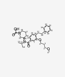 COCCCOc1cc(C(=O)N(C(C)C)[C@@H]2CCCN(C(=O)O)C2)ccc1CCc1ccccc1